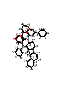 c1ccc(-c2cccc(N(c3ccccc3)c3ccc4c(oc5c6ccccc6ccc45)c3N(c3ccccc3)c3cccc(-c4ccccc4)c3)c2)cc1